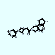 O=C(CC1CN(c2cncnc2)C1)N1Cc2cnc3c(c2C1)CCC3